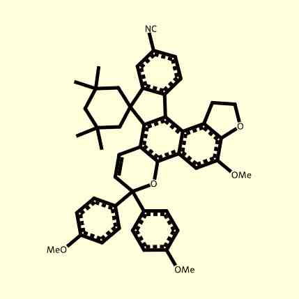 [C-]#[N+]c1ccc2c(c1)C1(CC(C)(C)CC(C)(C)C1)c1c3c(c4cc(OC)c5c(c4c1-2)CCO5)OC(c1ccc(OC)cc1)(c1ccc(OC)cc1)C=C3